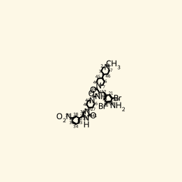 CN1CCC(C2CCN(C(=O)[C@@H](Cc3cc(Br)c(N)c(Br)c3)NC(=O)N3CCC(n4cc(-c5cccc([N+](=O)[O-])c5)[nH]c4=O)CC3)CC2)CC1